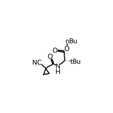 CCCCOC(=O)[C@@H](NC(=O)C1(C#N)CC1)C(C)(C)C